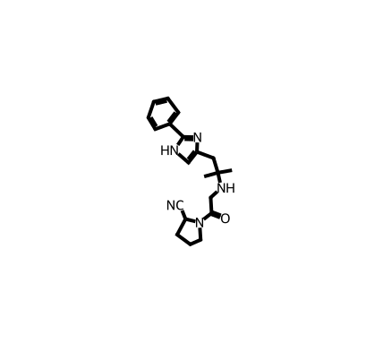 CC(C)(Cc1c[nH]c(-c2ccccc2)n1)NCC(=O)N1CCCC1C#N